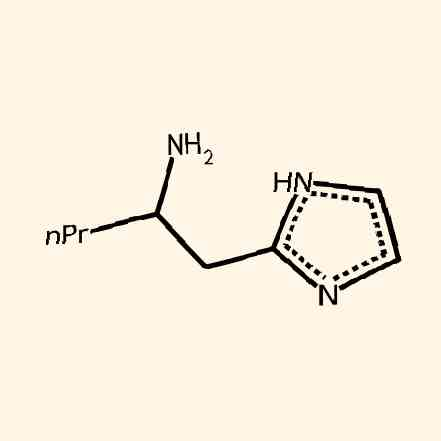 CCCC(N)Cc1ncc[nH]1